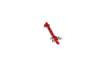 CC(C)(C)OC(=O)[C@H](CCCCNC(=O)CCCc1ccc(I)cc1)NC(=O)CCOCCOCCOCCOCCOCCOCCOCCOCCNC(=O)OCC1c2ccccc2-c2ccccc21